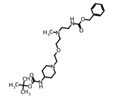 CN(CCNC(=O)OCc1ccccc1)CCOCCN1CCC(NC(=O)OC(C)(C)C)CC1